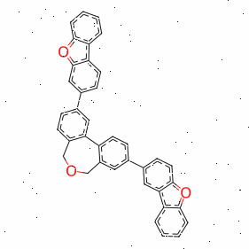 c1ccc2c(c1)oc1cc(-c3ccc4c(c3)-c3ccc(-c5ccc6oc7ccccc7c6c5)cc3COC4)ccc12